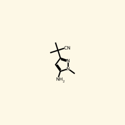 Cn1nc(C(C)(C)C#N)cc1N